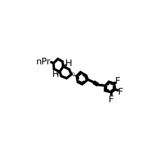 CCCC1CC[C@@H]2C[C@H](c3ccc(C#Cc4cc(F)c(F)c(F)c4)cc3)CC[C@@H]2C1